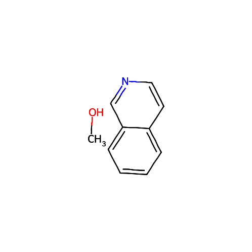 CO.c1ccc2cnccc2c1